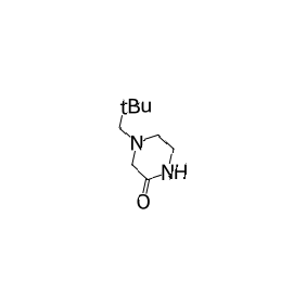 CC(C)(C)CN1CCNC(=O)C1